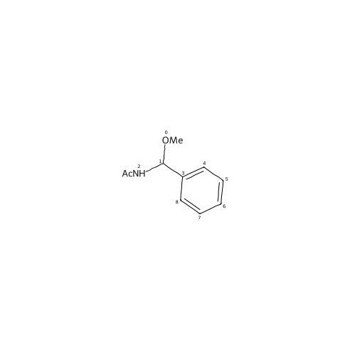 COC(NC(C)=O)c1ccccc1